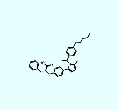 CCCCCc1ccc(C(C)n2c(C)ccc2-c2ccc(O[C@H](Cc3ccccc3)C(=O)O)cc2)cc1